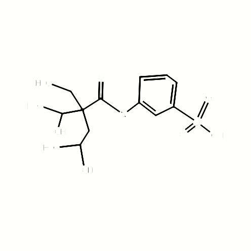 CCC(CC(C)C)(C(=O)Nc1cccc(S(=O)(=O)O)c1)C(C)C